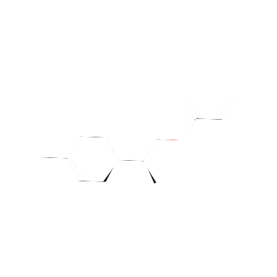 C=CC(=O)OC[C@@H](C)[C@H]1CC=C(C)CC1